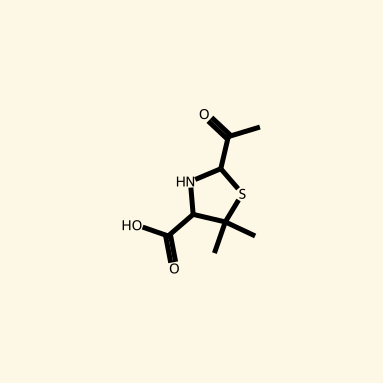 CC(=O)C1NC(C(=O)O)C(C)(C)S1